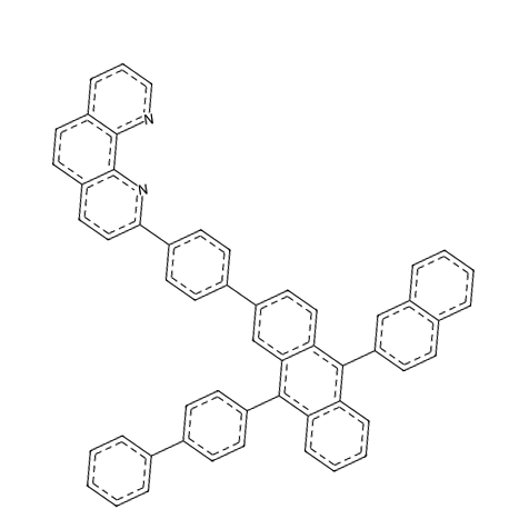 c1ccc(-c2ccc(-c3c4ccccc4c(-c4ccc5ccccc5c4)c4ccc(-c5ccc(-c6ccc7ccc8cccnc8c7n6)cc5)cc34)cc2)cc1